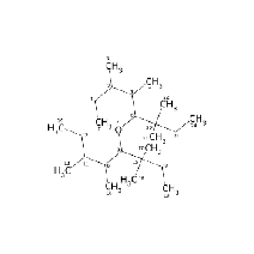 CCC(C)C(C)C(OC(C(C)C(C)CC)C(C)(C)CC)C(C)(C)CC